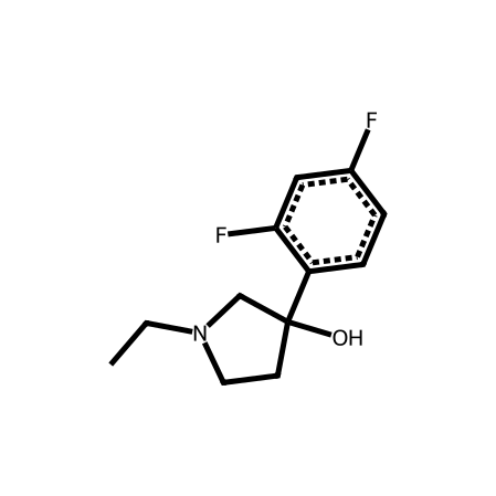 CCN1CCC(O)(c2ccc(F)cc2F)C1